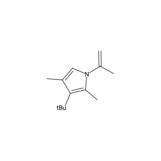 C=C(C)n1cc(C)c(C(C)(C)C)c1C